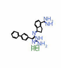 Cl.Cl.N=C(N)c1cccc2c1CCC2=Nc1[nH]c(N)nc1-c1ccc(-c2ccccc2)cc1